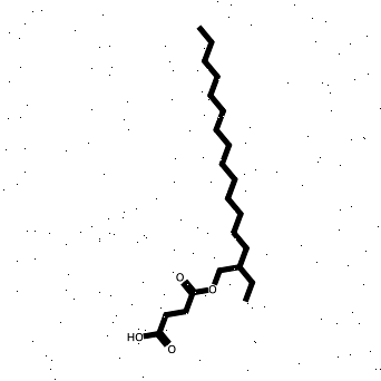 CCCCCCCCCCCCCCC(CC)COC(=O)CCC(=O)O